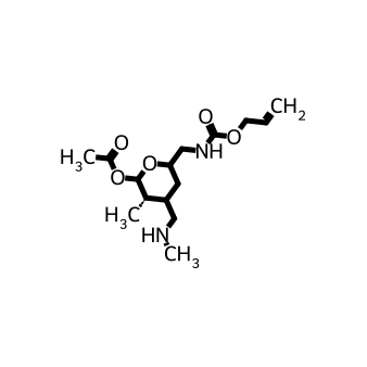 C=CCOC(=O)NCC1CC(CNC)[C@H](C)C(OC(C)=O)O1